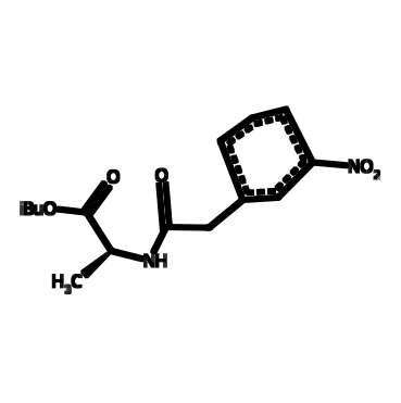 CC(C)COC(=O)[C@H](C)NC(=O)Cc1cccc([N+](=O)[O-])c1